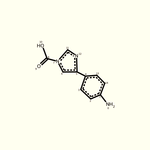 Nc1ccc(-c2cn(C(=O)O)cn2)cc1